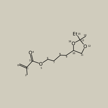 C=C(C)C(=O)OCCCCC1COC(C)(CC)O1